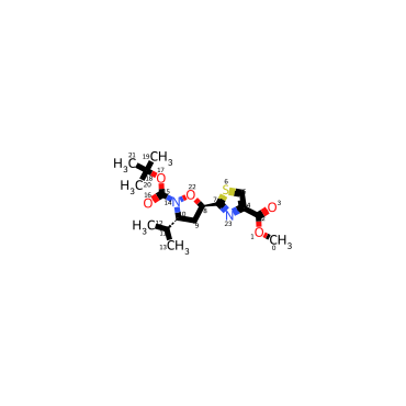 COC(=O)c1csc([C@H]2C[C@H](C(C)C)N(C(=O)OC(C)(C)C)O2)n1